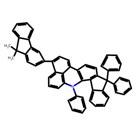 CC1(C)c2ccccc2-c2cc(-c3ccc4c5c(cccc35)N(c3ccccc3)c3c-4ccc4c3-c3ccccc3C4(c3ccccc3)c3ccccc3)ccc21